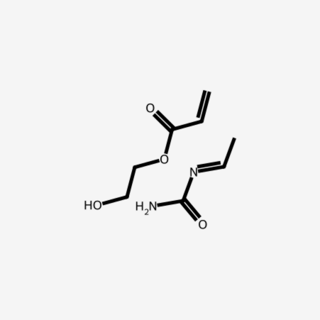 C=CC(=O)OCCO.CC=NC(N)=O